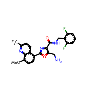 COc1ccc(-c2nc(C(=O)NCc3c(F)cccc3F)c(CN)o2)c2ccc(C(F)(F)F)nc12